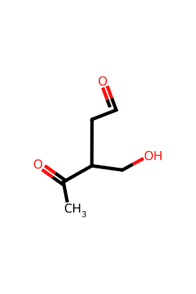 CC(=O)C(CO)CC=O